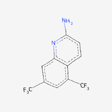 Nc1ccc2c(C(F)(F)F)cc(C(F)(F)F)cc2n1